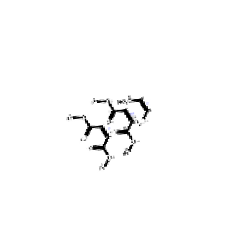 CC(C)OC(=O)/C=C\C(=O)OC(C)C.CC(C)OC(=O)/C=C\C(=O)OC(C)C.O=C(O)/C=C\C(=O)O